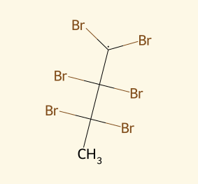 CC(Br)(Br)C(Br)(Br)[C](Br)Br